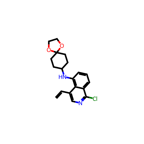 C=Cc1cnc(Cl)c2cccc(NC3CCC4(CC3)OCCO4)c12